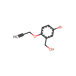 C#CCOc1ccc(Br)cc1CO